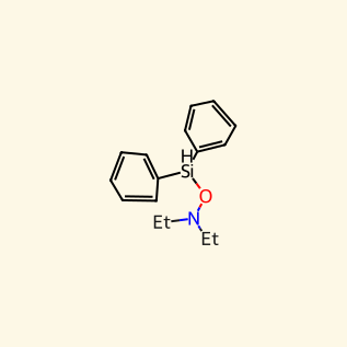 CCN(CC)O[SiH](c1ccccc1)c1ccccc1